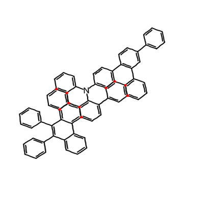 c1ccc(-c2ccc(-c3ccc(N(c4ccccc4-c4ccc5c(c4)c(-c4ccccc4)c(-c4ccccc4)c4ccccc45)c4c(-c5ccccc5)cccc4-c4ccccc4)cc3)c(-c3ccccc3)c2)cc1